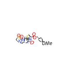 COc1ccc(COC(=O)C2=CS[C@@H]3/C(=C\c4cn5c(n4)S(=O)(=O)CCC5)C(=O)N23)cc1